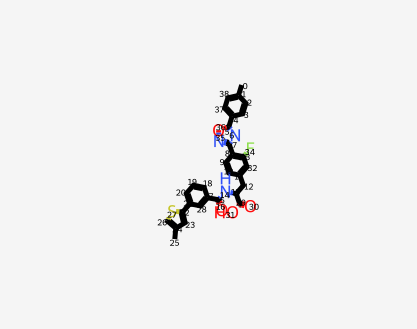 Cc1ccc(-c2nc(-c3ccc(CC(NC(=O)c4cccc(-c5cc(C)cs5)c4)C(=O)O)cc3F)no2)cc1